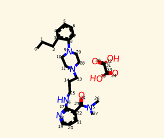 CCCc1ccccc1N1CCN(CCCNc2ncccc2C(=O)N(C)C)CC1.O=C(O)C(=O)O